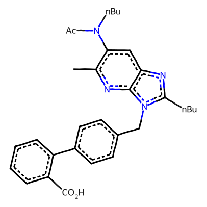 CCCCc1nc2cc(N(CCCC)C(C)=O)c(C)nc2n1Cc1ccc(-c2ccccc2C(=O)O)cc1